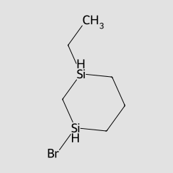 CC[SiH]1CCC[SiH](Br)C1